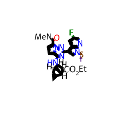 CCOC(=O)[C@@H]1[C@@H](Nc2nc(-c3cn(SI)c4ncc(F)cc34)nn3c(C(=O)NC)ccc23)[C@@H]2CC[C@H]1C1CC12